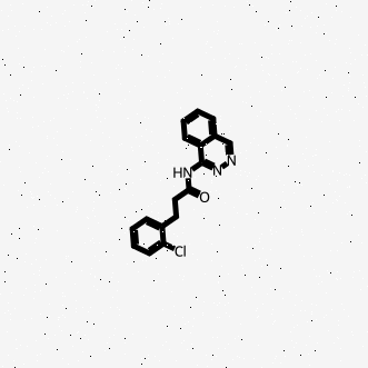 O=C(CCc1ccccc1Cl)Nc1nncc2ccccc12